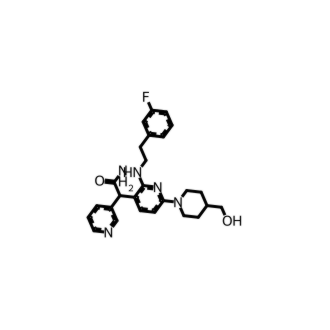 NC(=O)C(c1cccnc1)c1ccc(N2CCC(CO)CC2)nc1NCCc1cccc(F)c1